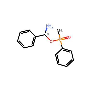 CP(=O)(O[C@H](N)c1ccccc1)c1ccccc1